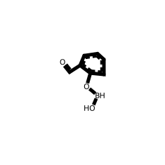 O=Cc1ccccc1OBO